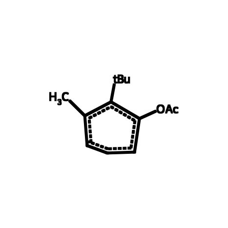 CC(=O)Oc1cccc(C)c1C(C)(C)C